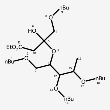 CCCCOCC(OC(O)(COCCCC)CC(=O)OCC)C(OCCCC)C(C)OCCCC